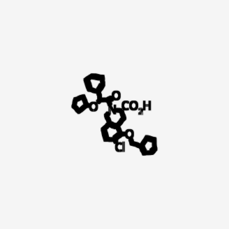 O=C(O)C1Cc2c(ccc(Cl)c2OCc2ccccc2)CN1C(=O)C(OC1CCCC1)c1ccccc1